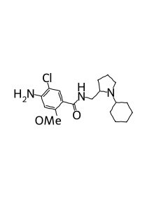 COc1cc(N)c(Cl)cc1C(=O)NCC1CCCN1C1CCCCC1